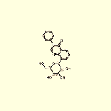 O=c1c(-c2ccccc2)coc2c([C@@H]3O[C@H](CO)[C@@H](O)[C@H](O)[C@H]3O)cccc12